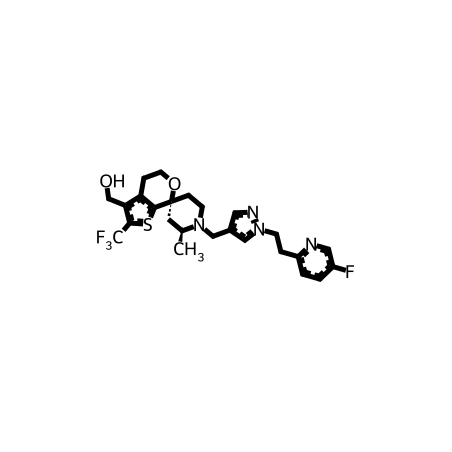 C[C@H]1C[C@@]2(CCN1Cc1cnn(CCc3ccc(F)cn3)c1)OCCc1c2sc(C(F)(F)F)c1CO